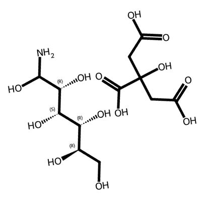 NC(O)[C@H](O)[C@@H](O)[C@H](O)[C@H](O)CO.O=C(O)CC(O)(CC(=O)O)C(=O)O